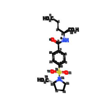 O=C(O)CC[C@H](NC(=O)c1ccc(S(=O)(=O)N2CCC[C@@H]2C(=O)O)cc1)C(=O)O